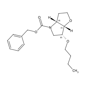 CCCCO[C@@H]1CN(C(=O)OCc2ccccc2)[C@@H]2CCO[C@@H]21